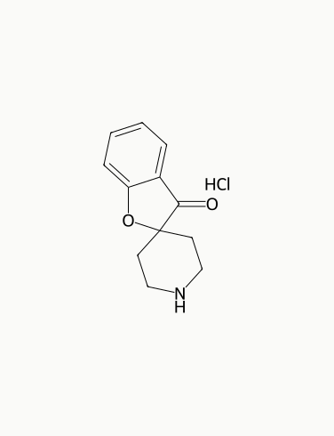 Cl.O=C1c2ccccc2OC12CCNCC2